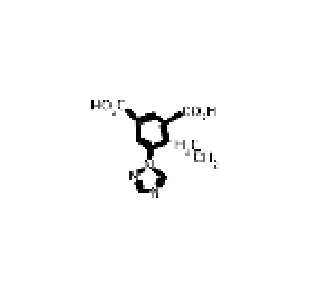 C=C.O=C(O)c1cc(C(=O)O)cc(-n2cncn2)c1